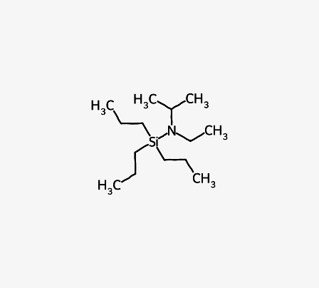 CCC[Si](CCC)(CCC)N(CC)C(C)C